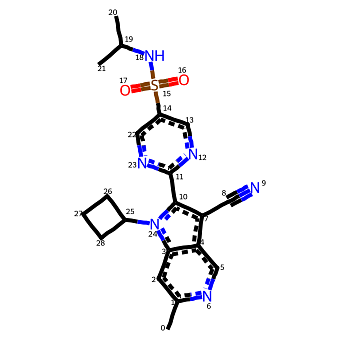 Cc1cc2c(cn1)c(C#N)c(-c1ncc(S(=O)(=O)NC(C)C)cn1)n2C1CCC1